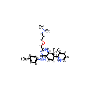 CCN(CC)CCCOCc1nc(Nc2ccc(C(C)(C)C)cc2)c2ccc(-c3ncccc3C(F)(F)F)cc2n1